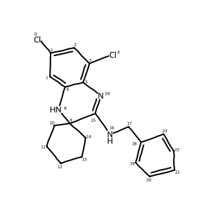 Clc1cc(Cl)c2c(c1)NC1(CCCCC1)C(NCc1ccccc1)=N2